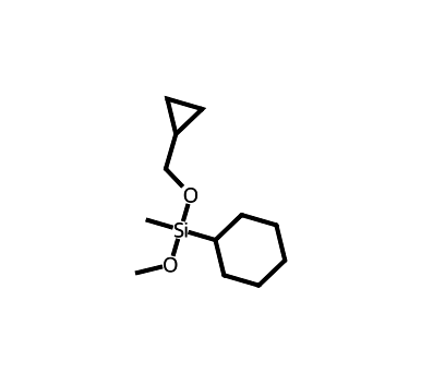 CO[Si](C)(OCC1CC1)C1CCCCC1